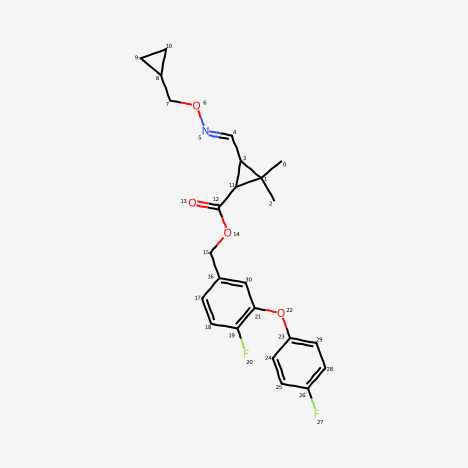 CC1(C)C(C=NOCC2CC2)C1C(=O)OCc1ccc(F)c(Oc2ccc(F)cc2)c1